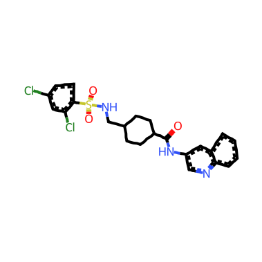 O=C(Nc1cnc2ccccc2c1)C1CCC(CNS(=O)(=O)c2ccc(Cl)cc2Cl)CC1